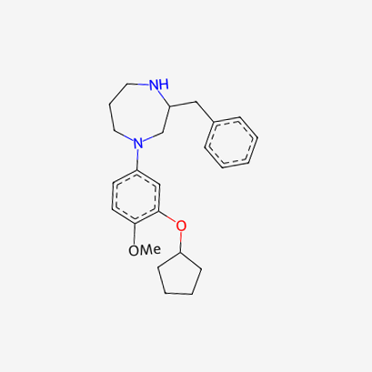 COc1ccc(N2CCCNC(Cc3ccccc3)C2)cc1OC1CCCC1